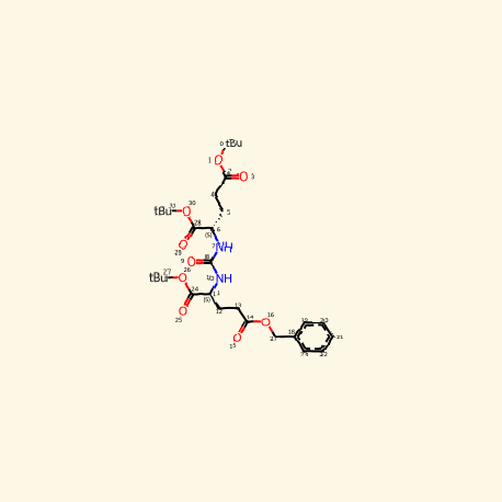 CC(C)(C)OC(=O)CC[C@H](NC(=O)N[C@@H](CCC(=O)OCc1ccccc1)C(=O)OC(C)(C)C)C(=O)OC(C)(C)C